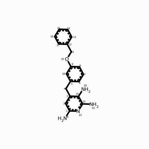 Nc1cc(Cc2cccc(OCc3ccccc3)c2)c(N)c(N)n1